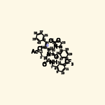 CC(=O)CC[C@@H](C(=O)NCc1cccc(C(F)(F)F)c1)N1C(=O)[C@@H](N2C(=O)OC[C@@H]2c2ccccc2)[C@H]1/C(Cl)=C/c1ccccc1